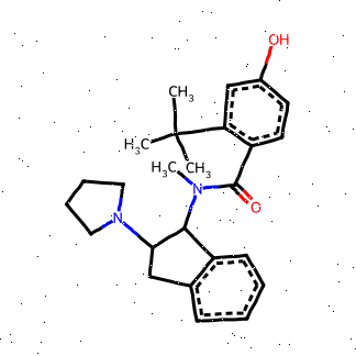 CN(C(=O)c1ccc(O)cc1C(C)(C)C)C1c2ccccc2CC1N1CCCC1